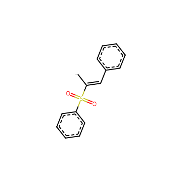 [CH2]/C(=C\c1ccccc1)S(=O)(=O)c1ccccc1